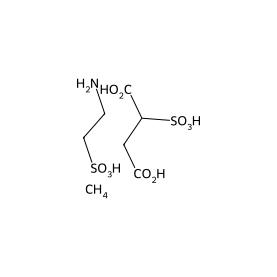 C.NCCS(=O)(=O)O.O=C(O)CC(C(=O)O)S(=O)(=O)O